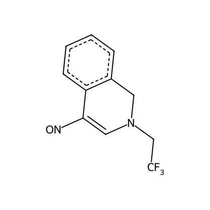 O=NC1=CN(CC(F)(F)F)Cc2ccccc21